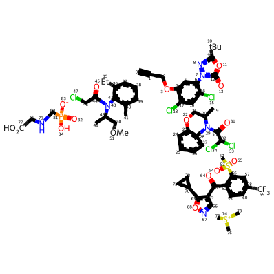 C#CCOc1cc(-n2nc(C(C)(C)C)oc2=O)c(Cl)cc1Cl.CC1COc2ccccc2N1C(=O)C(Cl)Cl.CCc1cccc(C)c1N(C(=O)CCl)C(C)COC.CS(=O)(=O)c1cc(C(F)(F)F)ccc1C(=O)c1cnoc1C1CC1.C[S+](C)C.O=C(O)CNCP(=O)([O-])O